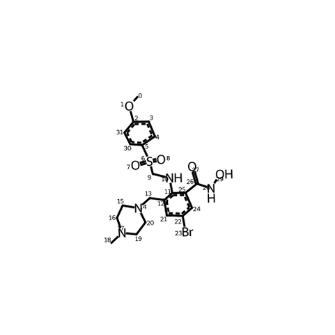 COc1ccc(S(=O)(=O)CNc2c(CN3CCN(C)CC3)cc(Br)cc2C(=O)NO)cc1